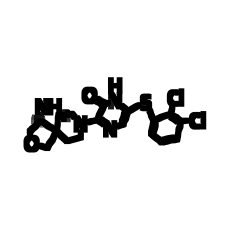 N[C@H]1COCC12CCN(c1ncc(Sc3cccc(Cl)c3Cl)[nH]c1=O)CC2